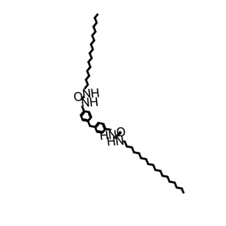 CCCCCCCCCCCCCCCCCCNC(=O)NCc1ccc(Cc2ccc(CNC(=O)NCCCCCCCCCCCCCCCCCC)cc2)cc1